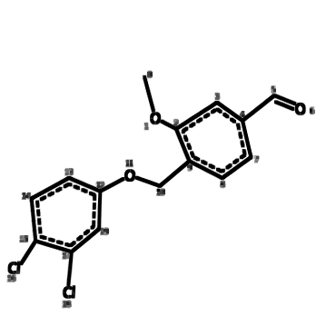 COc1cc(C=O)ccc1COc1ccc(Cl)c(Cl)c1